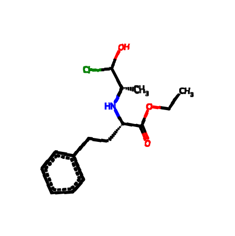 CCOC(=O)[C@H](CCc1ccccc1)N[C@@H](C)C(O)Cl